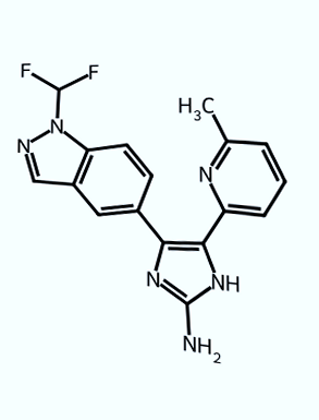 Cc1cccc(-c2[nH]c(N)nc2-c2ccc3c(cnn3C(F)F)c2)n1